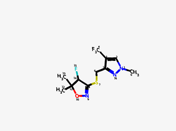 Cn1cc(C(F)(F)F)c(CSC2=NOC(C)(C)C2F)n1